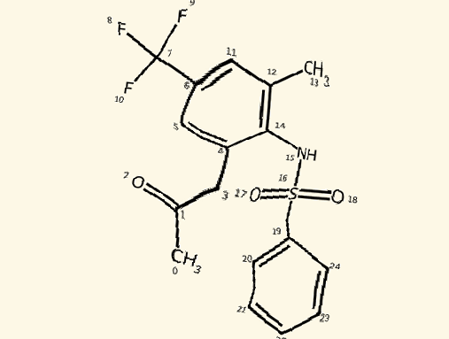 CC(=O)Cc1cc(C(F)(F)F)cc(C)c1NS(=O)(=O)c1ccccc1